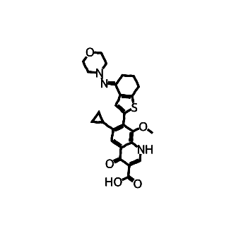 COc1c(-c2cc3c(s2)CCC/C3=N\N2CCOCC2)c(C2CC2)cc2c(=O)c(C(=O)O)c[nH]c12